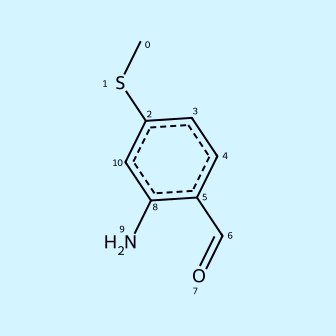 CSc1ccc(C=O)c(N)c1